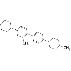 Cc1cc(C2CCCCC2)ccc1-c1ccc(C2CCC(C)CC2)cc1